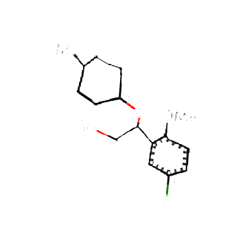 COc1ccc(F)cc1C(CO)OC1CCC(C#N)CC1